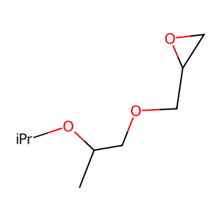 CC(C)OC(C)COCC1CO1